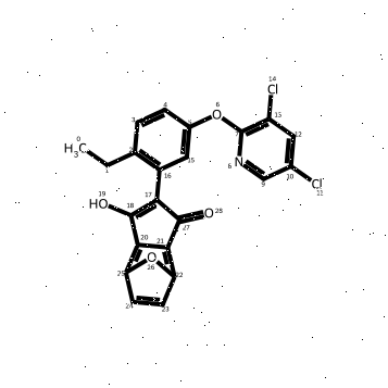 CCc1ccc(Oc2ncc(Cl)cc2Cl)cc1C1=C(O)c2c(c3ccc2o3)C1=O